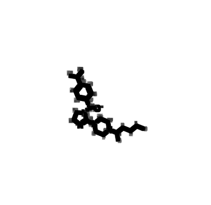 CCCCC(C)N1CCN(C2=NCCN2[S+]([O-])c2ccc(C(C)C)cc2)CC1